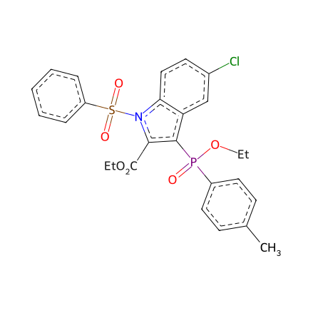 CCOC(=O)c1c(P(=O)(OCC)c2ccc(C)cc2)c2cc(Cl)ccc2n1S(=O)(=O)c1ccccc1